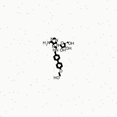 Nc1ncnc2c1nc(NCc1ccc(-c3ccc(OCCO)cc3)cc1)n2[C@@H]1O[C@H](CO)[C@@H](O)[C@H]1O